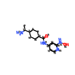 CC(N)C1CCC(C(=O)Nc2ccnc(NO)c2)CC1